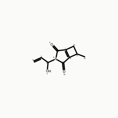 C=CC(O)N1C(=O)C2=C(C1=O)C(C)C2